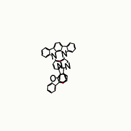 c1ccc(-c2ncc(-n3c4ccccc4c4ccc5c6ccccc6n(-c6ccc(-c7cccc8c7oc7ccccc78)cc6)c5c43)cn2)cc1